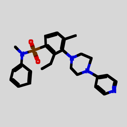 CCc1c(S(=O)(=O)N(C)c2ccccc2)ccc(C)c1N1CCN(c2ccncc2)CC1